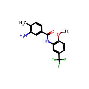 COc1ccc(C(F)(F)F)cc1NC(=O)c1ccc(C)c(N)c1